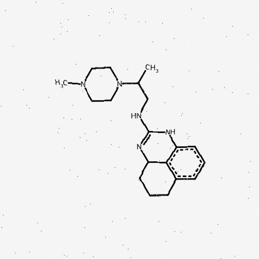 CC(CNC1=NC2CCCc3cccc(c32)N1)N1CCN(C)CC1